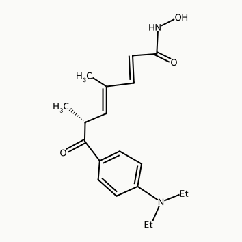 CCN(CC)c1ccc(C(=O)[C@H](C)/C=C(C)/C=C/C(=O)NO)cc1